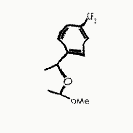 COC(C)OC(C)c1ccc(C(F)(F)F)cc1